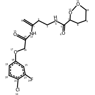 C=C(CCNC(=O)C1CCCOO1)NC(=O)COc1ccc(Cl)c(F)c1